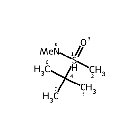 CN[SH](C)(=O)C(C)(C)C